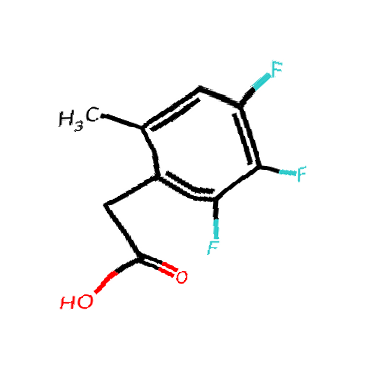 Cc1cc(F)c(F)c(F)c1CC(=O)O